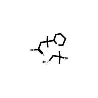 CC(C)(CC(O)=S)C1CCCCO1.CC(C)(S)CC(=O)O